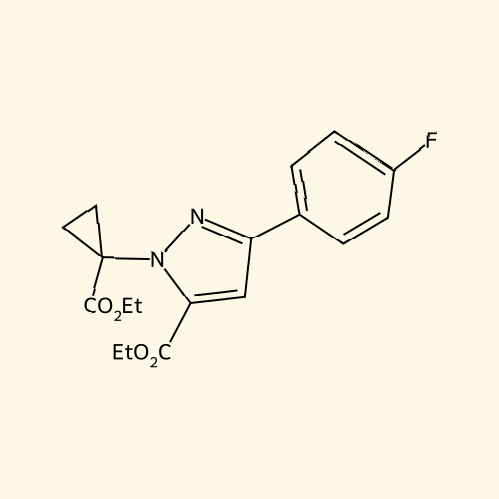 CCOC(=O)c1cc(-c2ccc(F)cc2)nn1C1(C(=O)OCC)CC1